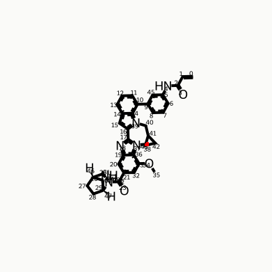 C=CC(=O)Nc1cccc(-c2cccc3cc(-c4nc5cc(C(=O)N6C[C@H]7CC[C@@H]6[C@@H]7N)cc(OC)c5n4C)n(CC4CC4)c23)c1